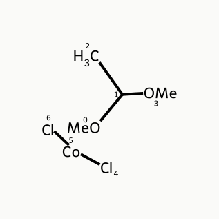 COC(C)OC.[Cl][Co][Cl]